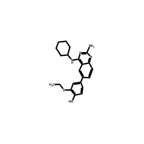 CCOc1cc(-c2ccc3nc(N)nc(NC4CCCCC4)c3c2)ccc1O